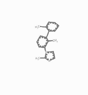 Cc1ccccc1-c1cccc(-n2ccnc2C)c1C